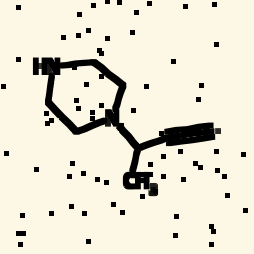 [C]#CC(C)N1CCNCC1